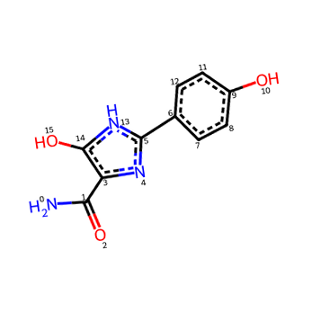 NC(=O)c1nc(-c2ccc(O)cc2)[nH]c1O